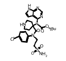 CC(C)(C)OC(=O)N(c1ncnc2[nH]ccc12)C1(C(=O)N(CCS(N)(=O)=O)c2ccc(Cl)cc2)CCNCC1